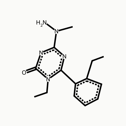 CCc1ccccc1-c1nc(N(C)N)nc(=O)n1CC